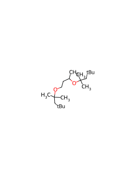 CC(CCOC(C)(C)CC(C)(C)C)OC(C)(C)CC(C)(C)C